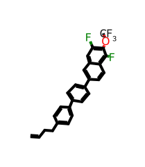 C=CCCc1ccc(-c2ccc(-c3ccc4c(F)c(OC(F)(F)F)c(F)cc4c3)cc2)cc1